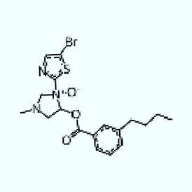 CCCCc1cccc(C(=O)OC2CN(C)C[N+]2([O-])c2ncc(Br)s2)c1